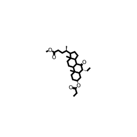 CCC(=O)O[C@@H]1CCC2(C)C3CCC4(C)C(CCC4[C@H](C)CCC(=O)OC)C3C(=O)[C@H](CC)C2C1